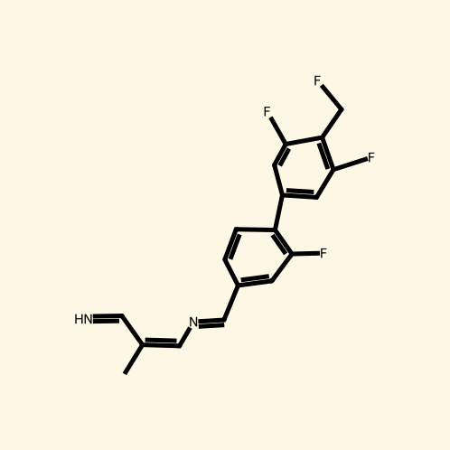 C/C(C=N)=C/N=C/c1ccc(-c2cc(F)c(CF)c(F)c2)c(F)c1